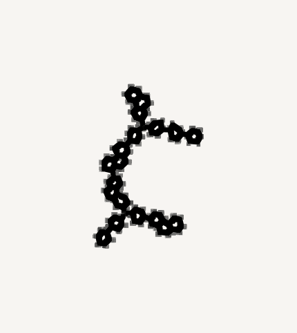 c1ccc(-c2ccc(-c3ccc(N(c4ccc(-c5ccc6c(ccc7c(-c8ccc9c(ccc%10cc(N(c%11ccc(-c%12ccccc%12)cc%11)c%11ccc(-c%12ccc%13c(ccc%14ccccc%14%13)c%12)cc%11)ccc%109)c8)cccc76)c5)cc4)c4ccc5c(ccc6ccccc65)c4)cc3)cc2)cc1